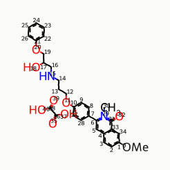 COc1ccc2cc(-c3ccc(OCCCNCC(O)COc4ccccc4)cc3)n(C)c(=O)c2c1.O=C(O)C(=O)O